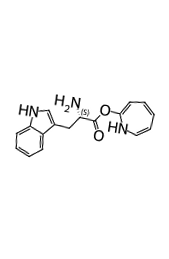 N[C@@H](Cc1c[nH]c2ccccc12)C(=O)OC1=CC=CC=CN1